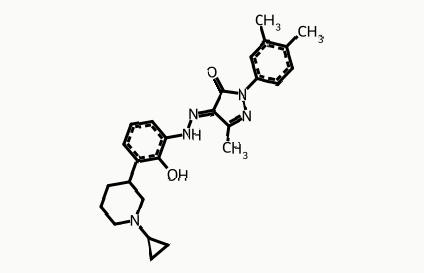 CC1=NN(c2ccc(C)c(C)c2)C(=O)/C1=N/Nc1cccc(C2CCCN(C3CC3)C2)c1O